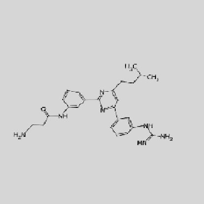 CC(C)CCc1cc(-c2cccc(NC(=N)N)c2)nc(-c2cccc(NC(=O)CCN)c2)n1